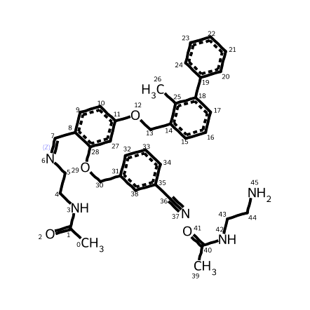 CC(=O)NCC/N=C\c1ccc(OCc2cccc(-c3ccccc3)c2C)cc1OCc1cccc(C#N)c1.CC(=O)NCCN